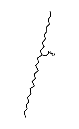 CCCCCCCCCCCCCCCCC(CCCCCCCCCCC)CN=O